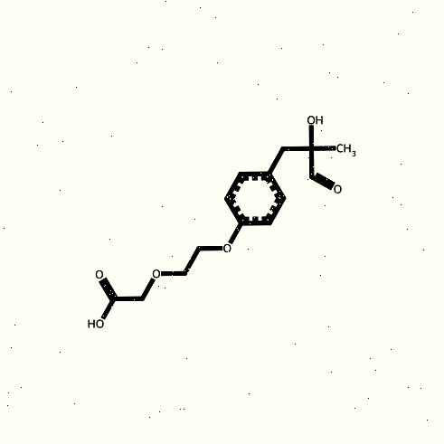 CC(O)(C=O)Cc1ccc(OCCOCC(=O)O)cc1